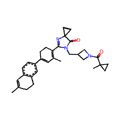 CC1=Cc2ccc(C3=CC(C)=C(C4=NC5(CC5)C(=O)N4CC4CN(C(=O)C5(C)CC5)C4)CC3)cc2CC1